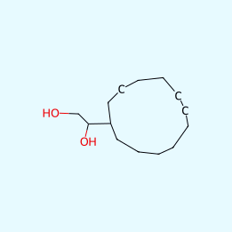 OCC(O)C1CCCCCCCCCCC1